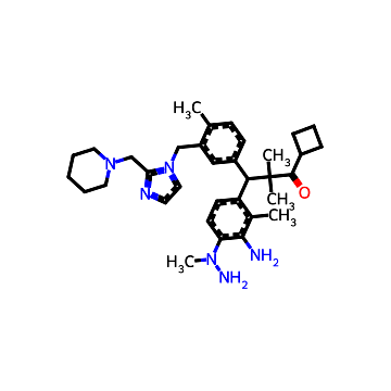 Cc1ccc(C(c2ccc(N(C)N)c(N)c2C)C(C)(C)C(=O)C2CCC2)cc1Cn1ccnc1CN1CCCCC1